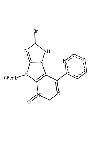 CCCCCN1C2=NC(Br)NN2C2=C1[N+](=O)CN=C2c1ccncn1